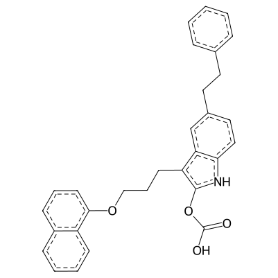 O=C(O)Oc1[nH]c2ccc(CCc3ccccc3)cc2c1CCCOc1cccc2ccccc12